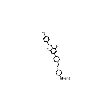 CCCCC[C@H]1CC[C@H](CCC2CCC(c3cc(F)c(CCc4ccc(Cl)cc4)c(F)c3)CC2)CC1